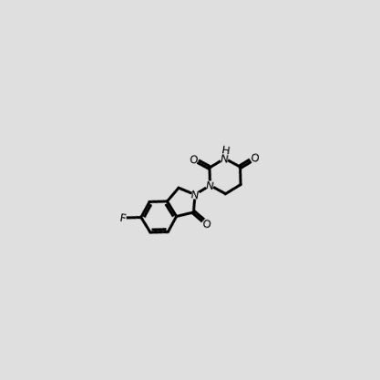 O=C1CCN(N2Cc3cc(F)ccc3C2=O)C(=O)N1